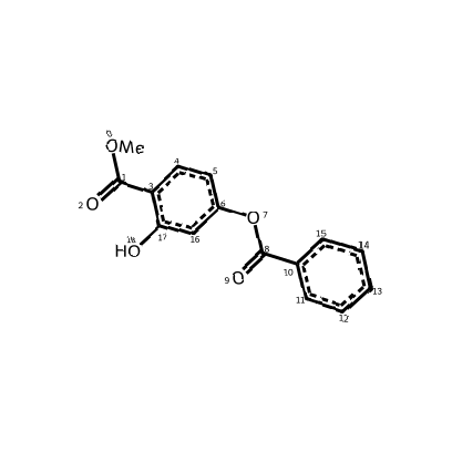 COC(=O)c1ccc(OC(=O)c2ccccc2)cc1O